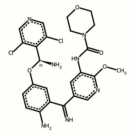 COc1ncc(C(=N)c2cc(O[C@H](N)c3c(Cl)cncc3Cl)ccc2N)cc1NC(=O)N1CCOCC1